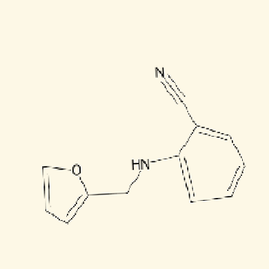 N#Cc1ccccc1NCc1ccco1